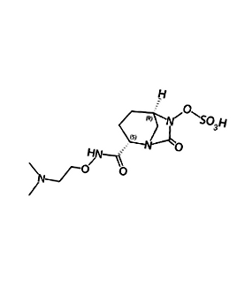 CN(C)CCONC(=O)[C@@H]1CC[C@@H]2CN1C(=O)N2OS(=O)(=O)O